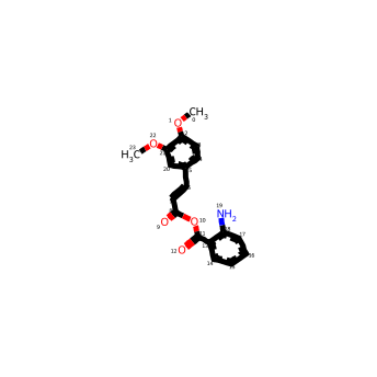 COc1ccc(/C=C/C(=O)OC(=O)c2ccccc2N)cc1OC